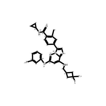 Cc1cc(-c2cnc3c(NCC4CC(F)(F)C4)cc(Oc4cccc(F)c4)nn23)ccc1C(=O)NC1CC1